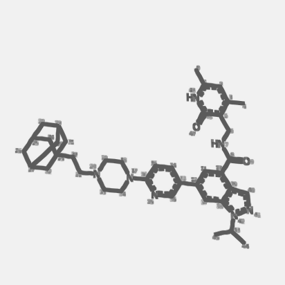 Cc1cc(C)c(CNC(=O)c2cc(-c3ccc(N4CCN(CCC56CC7CC(CC(C7)C5)C6)CC4)nc3)cc3c2cnn3C(C)C)c(=O)[nH]1